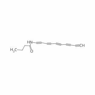 C#CC#CC#CC#CC#CNC(=O)CCC